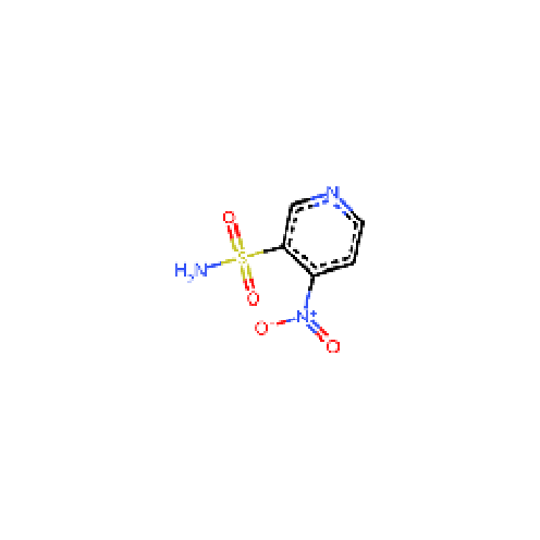 NS(=O)(=O)c1cnccc1[N+](=O)[O-]